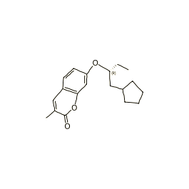 CC[C@H](CC1CCCC1)Oc1ccc2cc(C)c(=O)oc2c1